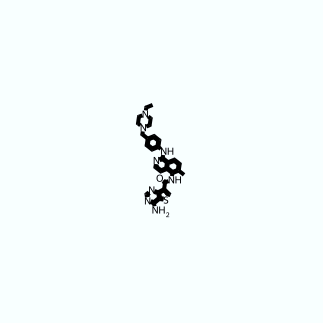 CCN1CCN(Cc2ccc(Nc3nccc4c(NC(=O)c5csc6c(N)ncnc56)c(C)ccc34)cc2)CC1